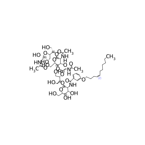 CCCCCC/C=C\CCCOc1cccc(C(=O)NC2C(O)[C@H](O)C(CO)O[C@H]2O[C@@H](CO)C(CO)O[C@H](CNC(C)=O)O[C@@H]2C(CO)O[C@@H](O[C@@H](CO)C(CO)O[C@@H](O)CNC(C)=O)C(NC(C)=O)C2O)c1